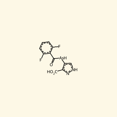 O=C(O)c1n[nH]cc1[AsH]C(=O)c1c(F)cccc1F